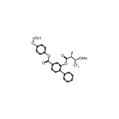 CCCCCCCCOc1ccc(OC(=O)c2ccc(-c3ccccc3)c(OC(=O)[C@@H](C)[C@@H](OC)C(F)(F)F)c2)cc1